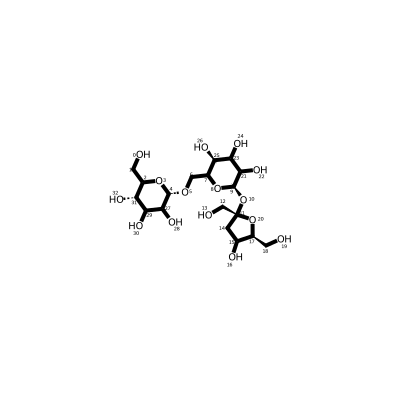 OCC1O[C@H](OCC2O[C@H](O[C@@]3(CO)CC(O)[C@H](CO)O3)C(O)C(O)[C@@H]2O)C(O)C(O)[C@@H]1O